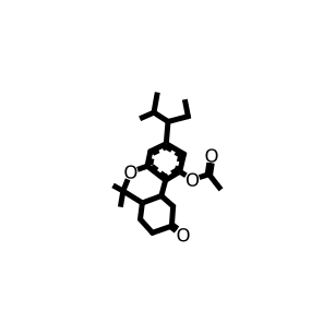 CCC(c1cc(OC(C)=O)c2c(c1)OC(C)(C)C1CCC(=O)CC21)C(C)C